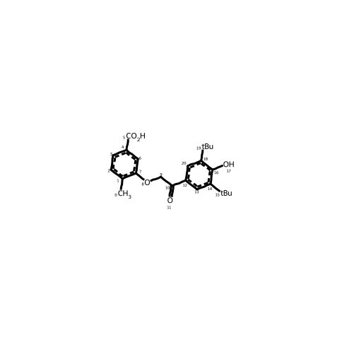 Cc1ccc(C(=O)O)cc1OCC(=O)c1cc(C(C)(C)C)c(O)c(C(C)(C)C)c1